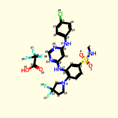 CNS(=O)(=O)c1ccc(N2CCC(F)(F)C2)c(Nc2cc(Nc3ccc(Cl)cc3)ncn2)c1.O=C(O)C(F)(F)F